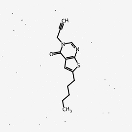 C#CCn1cnc2sc(CCCCC)cc2c1=O